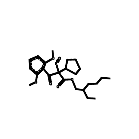 CCCCC(CC)COC(=O)C(P=O)(C(=O)c1c(OC)cccc1OC)C1CCCC1